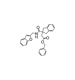 O=C(CC1(C(=O)NCc2cc3ccccc3o2)Cc2ccccc2C1)OCc1ccccc1